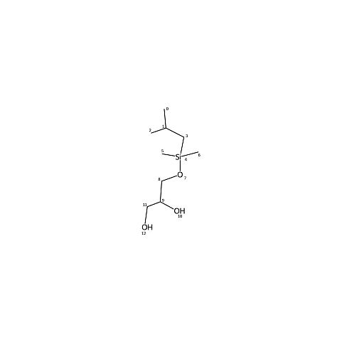 CC(C)C[Si](C)(C)OCC(O)CO